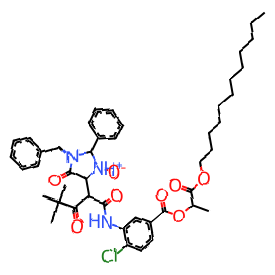 CCCCCCCCCCCCOC(=O)C(C)OC(=O)c1ccc(Cl)c(NC(=O)C(C(=O)C(C)(C)C)C2C(=O)N(Cc3ccccc3)C(c3ccccc3)[NH+]2[O-])c1